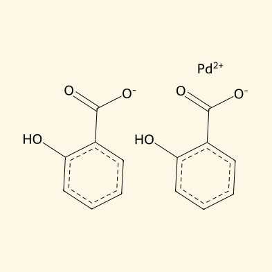 O=C([O-])c1ccccc1O.O=C([O-])c1ccccc1O.[Pd+2]